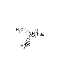 CCCCNc1ncc2c(-c3ccc(S(N)(=O)=O)cc3)cn(C[C@H]3CC[C@H](C)CC3)c2n1